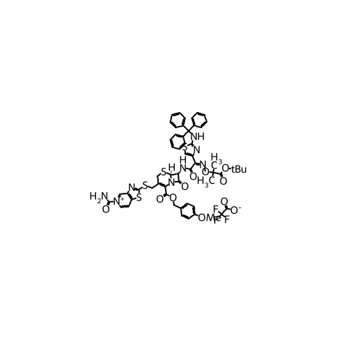 COc1ccc(COC(=O)C2=C(CSc3nc4c[n+](C(N)=O)ccc4s3)CS[C@H]3C(NC(=O)/C(=N\OC(C)(C)C(=O)OC(C)(C)C)c4csc(NC(c5ccccc5)(c5ccccc5)c5ccccc5)n4)C(=O)N23)cc1.O=C([O-])C(F)(F)F